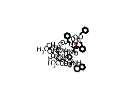 COC[C@@H](c1ccccc1)N(CC1(C(=O)N[C@H]2C[C@@H](C(=O)N[C@@H]3CCCc4ccccc43)N(C(=O)[C@@H](NC(=O)[C@H](C)N(C)C(=O)OC(C)(C)C)C(C)(C)C)C2)CC1)C(=O)[C@@H]1Cc2ccccc2CN1C(=O)OCc1ccccc1